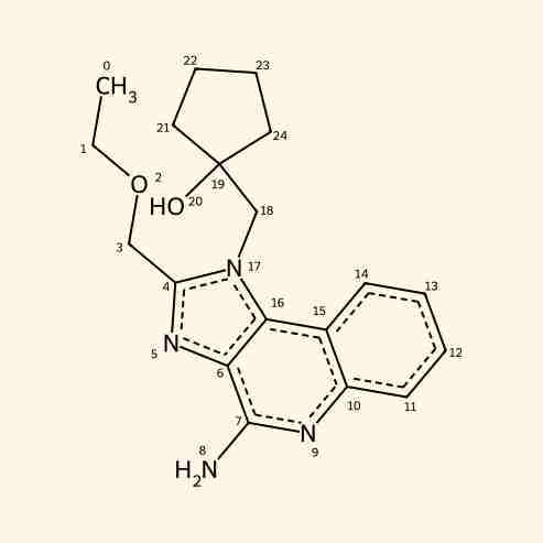 CCOCc1nc2c(N)nc3ccccc3c2n1CC1(O)CCCC1